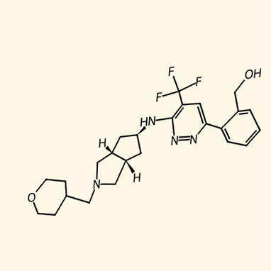 OCc1ccccc1-c1cc(C(F)(F)F)c(N[C@H]2C[C@@H]3CN(CC4CCOCC4)C[C@@H]3C2)nn1